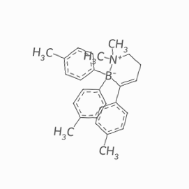 Cc1ccc(C2=CCC[N+](C)(C)[B-]2(c2ccc(C)cc2)c2ccc(C)cc2)cc1